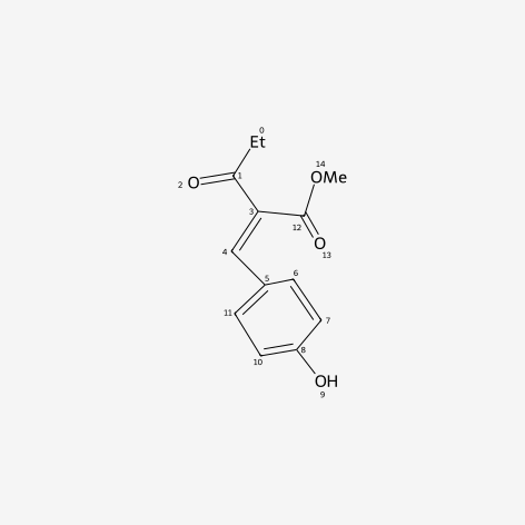 CCC(=O)C(=Cc1ccc(O)cc1)C(=O)OC